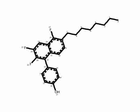 CCCCCCCCc1ccc2c(-c3ccc(O)cc3)c(F)c(F)cc2c1F